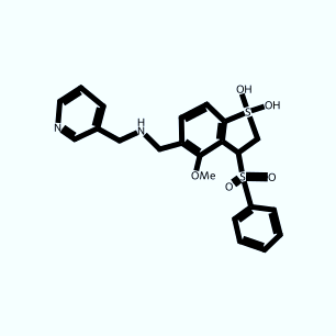 COc1c(CNCc2cccnc2)ccc2c1C(S(=O)(=O)c1ccccc1)CS2(O)O